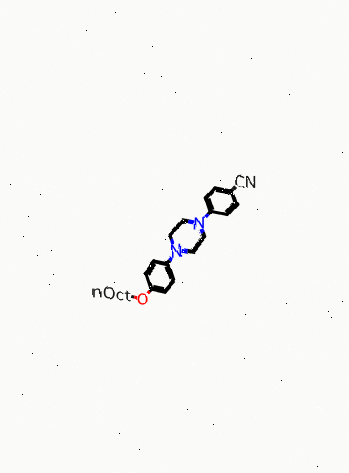 CCCCCCCCOc1ccc(N2CCN(c3ccc(C#N)cc3)CC2)cc1